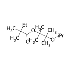 CCC(C)(C)C(=O)OC(C)(C)C(C)(C)OC(C)C